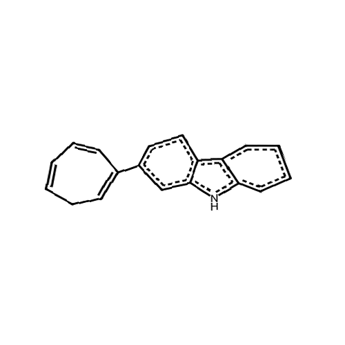 C1=CCC=C(c2ccc3c(c2)[nH]c2ccccc23)C=C1